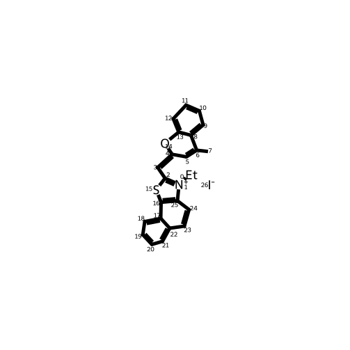 CC[n+]1c(C=C2C=C(C)c3ccccc3O2)sc2c3ccccc3ccc21.[I-]